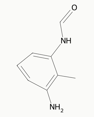 Cc1c(N)cccc1NC=O